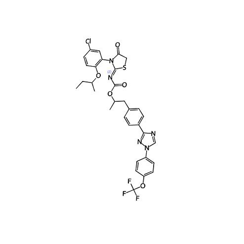 CCC(C)Oc1ccc(Cl)cc1N1C(=O)CS/C1=N\C(=O)OC(C)Cc1ccc(-c2ncn(-c3ccc(OC(F)(F)F)cc3)n2)cc1